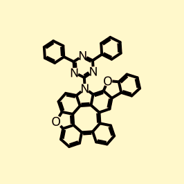 c1ccc(-c2nc(-c3ccccc3)nc(-n3c4ccc5oc6cccc7c8ccccc8c8cc9c%10ccccc%10oc9c3c8c4c5c67)n2)cc1